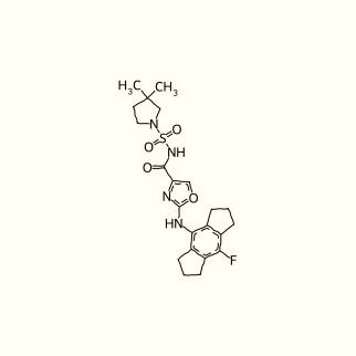 CC1(C)CCN(S(=O)(=O)NC(=O)c2coc(Nc3c4c(c(F)c5c3CCC5)CCC4)n2)C1